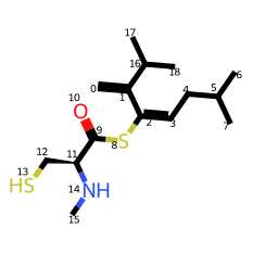 C=C(/C(=C\CC(C)C)SC(=O)[C@H](CS)NC)C(C)C